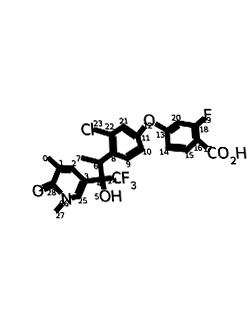 Cc1cc(C(O)(C(C)c2ccc(Oc3ccc(C(=O)O)c(F)c3)cc2Cl)C(F)(F)F)cn(C)c1=O